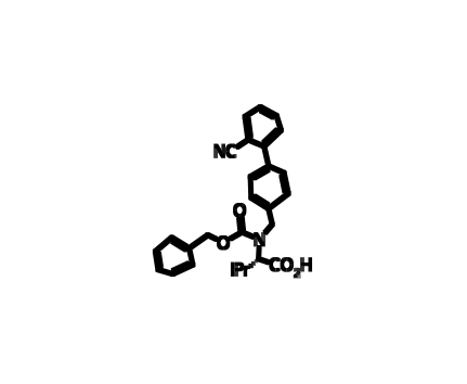 CC(C)[C@@H](C(=O)O)N(Cc1ccc(-c2ccccc2C#N)cc1)C(=O)OCc1ccccc1